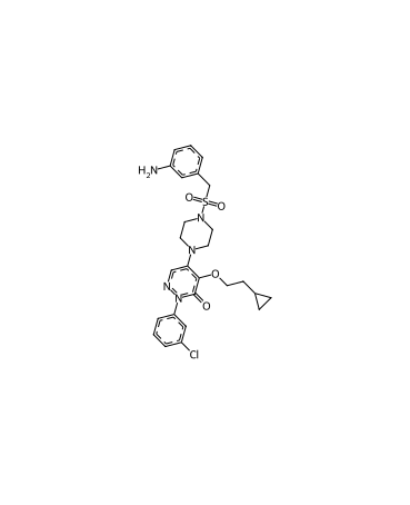 Nc1cccc(CS(=O)(=O)N2CCN(c3cnn(-c4cccc(Cl)c4)c(=O)c3OCCC3CC3)CC2)c1